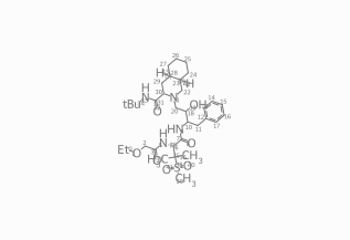 CCOCC(=O)N[C@H](C(=O)NC(Cc1ccccc1)C(O)CN1C[C@H]2CCCC[C@H]2CC1C(=O)NC(C)(C)C)C(C)(C)S(C)(=O)=O